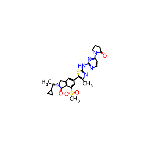 Cc1nc(Nc2nccc(N3CCCC3=O)n2)sc1-c1cc2c(c(S(C)(=O)=O)c1)C(=O)N([C@@H](C)C1CC1)C2